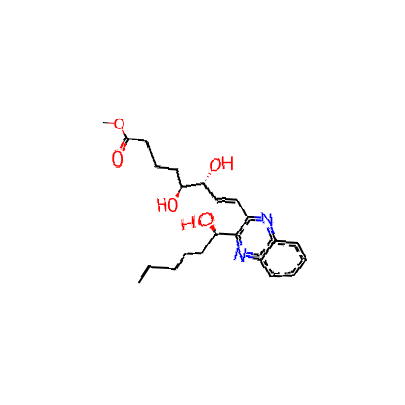 CCCCC[C@@H](O)c1nc2ccccc2nc1/C=C/[C@@H](O)[C@@H](O)CCCC(=O)OC